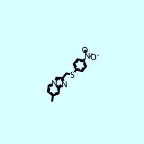 Cc1ccn2cc(CSc3ccc([N+](=O)[O-])cc3)nc2c1